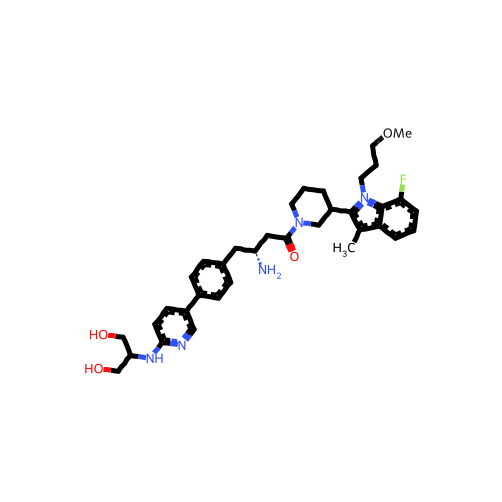 COCCCn1c(C2CCCN(C(=O)C[C@H](N)Cc3ccc(-c4ccc(NC(CO)CO)nc4)cc3)C2)c(C)c2cccc(F)c21